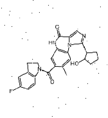 Cc1cc2c(cc1C(=O)N1CCc3cc(F)ccc31)[nH]c(=O)c1cnc(C3CCCC3O)n12